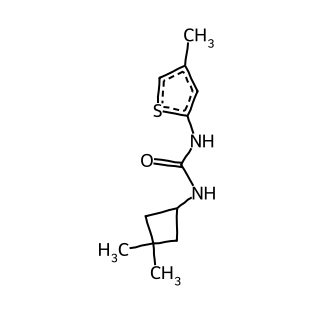 Cc1csc(NC(=O)NC2CC(C)(C)C2)c1